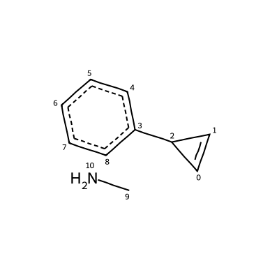 C1=CC1c1ccccc1.CN